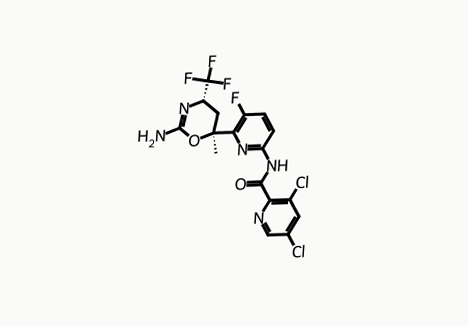 C[C@@]1(c2nc(NC(=O)c3ncc(Cl)cc3Cl)ccc2F)C[C@@H](C(F)(F)F)N=C(N)O1